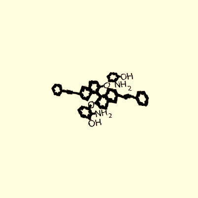 Nc1c(O)cccc1Oc1ccc2cc(C#Cc3ccccc3)ccc2c1-c1c(Oc2cccc(O)c2N)ccc2cc(C#Cc3ccccc3)ccc12